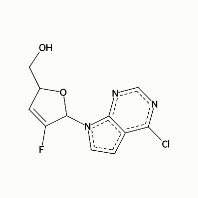 OCC1C=C(F)C(n2ccc3c(Cl)ncnc32)O1